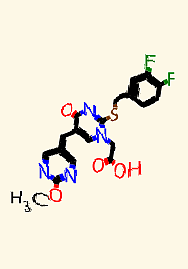 COc1ncc(Cc2cn(CC(=O)O)c(SCc3ccc(F)c(F)c3)nc2=O)cn1